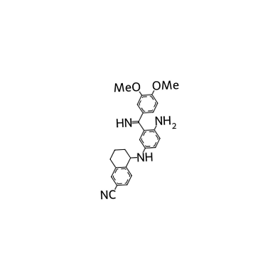 COc1ccc(C(=N)c2cc(NC3CCCc4cc(C#N)ccc43)ccc2N)cc1OC